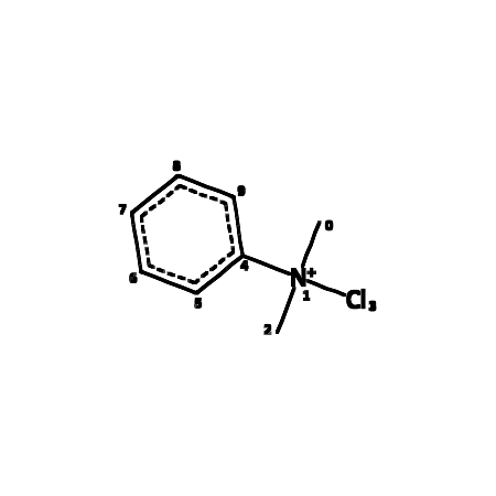 C[N+](C)(Cl)c1ccccc1